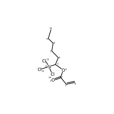 C=CC(=O)OC(CCCCC)[Si](Cl)(Cl)Cl